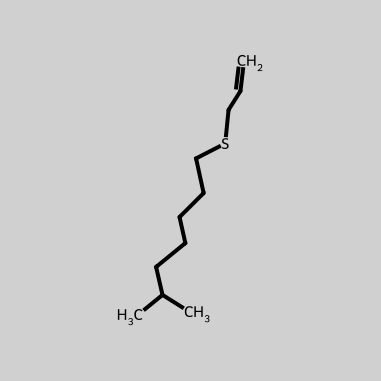 C=CCSCCCCCC(C)C